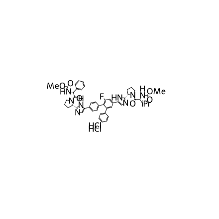 COC(=O)N[C@H](C(=O)N1CCC[C@H]1c1ncc(-c2cc(F)c(-c3ccc(-c4cnc([C@@H]5CCCN5C(=O)[C@H](NC(=O)OC)c5ccccc5)[nH]4)cc3)c(-c3ccccc3)c2)[nH]1)C(C)C.Cl.Cl